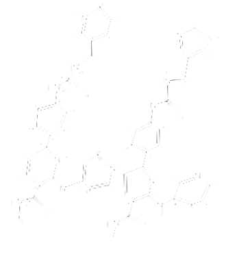 CNC(=O)c1ccc(-c2ccc(NC(=O)NCc3cccnc3)cc2)nc1Nc1cccnc1.CNC(=O)c1ccc(-c2ccc(NC(=O)NCc3cccnc3)cc2)nc1Nc1ccncc1